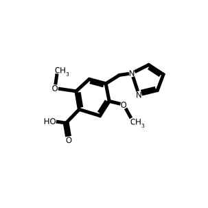 COc1cc(C(=O)O)c(OC)cc1Cn1cccn1